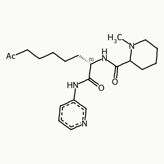 CC(=O)CCCCC[C@H](NC(=O)C1CCCCN1C)C(=O)Nc1cccnc1